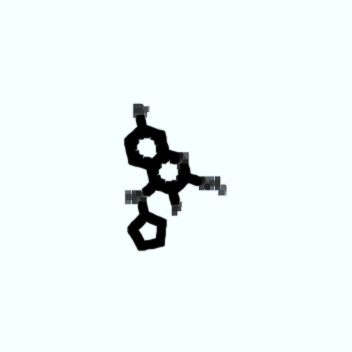 Nc1nc2cc(Br)ccc2c(NC2CCCC2)c1F